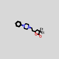 CCC1(CC)CC(CCN2CCN(c3cc[c]cc3)CC2)OC1=O